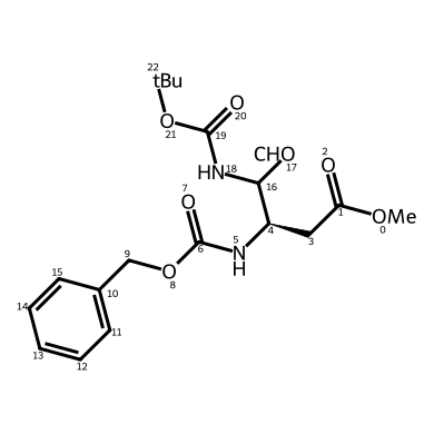 COC(=O)C[C@@H](NC(=O)OCc1ccccc1)C(C=O)NC(=O)OC(C)(C)C